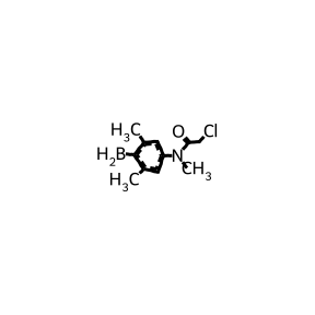 Bc1c(C)cc(N(C)C(=O)CCl)cc1C